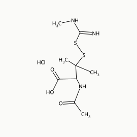 CNC(=N)SSC(C)(C)C(NC(C)=O)C(=O)O.Cl